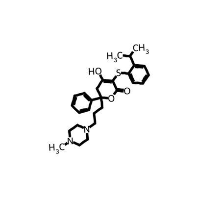 CC(C)c1ccccc1SC1=C(O)CC(CCCN2CCN(C)CC2)(c2ccccc2)OC1=O